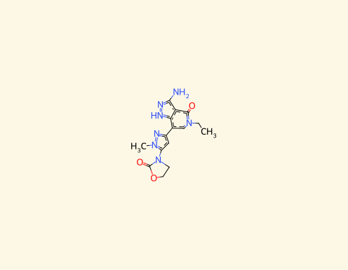 CCn1cc(-c2cc(N3CCOC3=O)n(C)n2)c2[nH]nc(N)c2c1=O